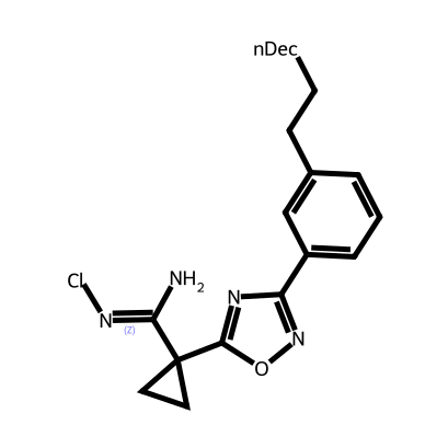 CCCCCCCCCCCCc1cccc(-c2noc(C3(/C(N)=N/Cl)CC3)n2)c1